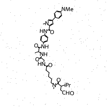 CNc1ccc(-c2cc(C(=O)Nc3ccc(NC(=O)C(C)NC(=O)CNC(=O)CCCCCN(C)C(=O)C(CC=O)C(C)C)cc3)n(C)c2)cc1